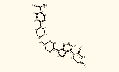 NC(=O)c1ccc(N2CCC(CN3CCC(n4ccc5c(N6CCC(=O)NC6=O)nccc54)CC3)CC2)nn1